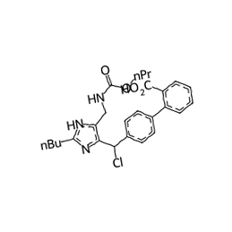 CCCCc1nc(C(Cl)c2ccc(-c3ccccc3C(=O)O)cc2)c(CNC(=O)OCCC)[nH]1